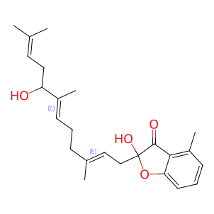 CC(C)=CCC(O)/C(C)=C/CC/C(C)=C/CC1(O)Oc2cccc(C)c2C1=O